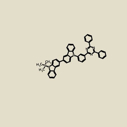 C[Si](C)(C)n1c2ccccc2c2cc(-c3ccc4c(c3)c3ccccc3n4-c3cccc(-c4nc(-c5ccccc5)nc(-c5ccccc5)n4)c3)ccc21